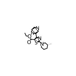 CCOC(=O)c1sc(N2CCC[C@@H](C)C2)nc1-c1cnccn1